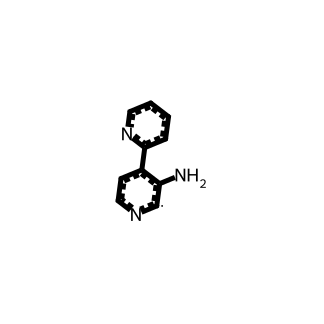 Nc1[c]nccc1-c1ccccn1